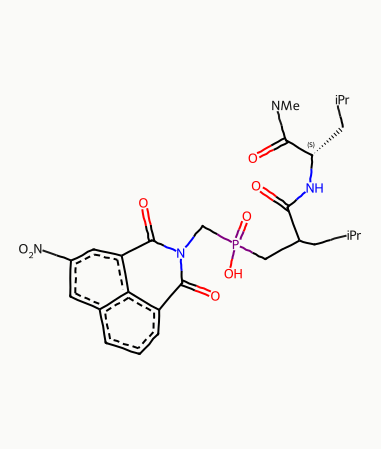 CNC(=O)[C@H](CC(C)C)NC(=O)C(CC(C)C)CP(=O)(O)CN1C(=O)c2cccc3cc([N+](=O)[O-])cc(c23)C1=O